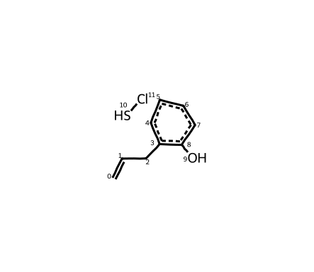 C=CCc1ccccc1O.SCl